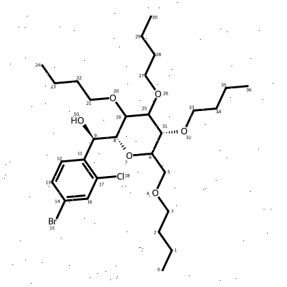 CCCCOCC1O[C@H]([C@H](O)c2ccc(Br)cc2Cl)C(OCCCC)C(OCCCC)[C@@H]1OCCCC